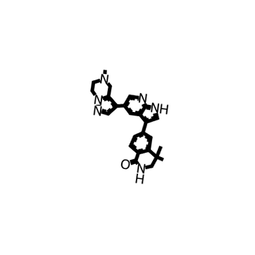 CN1CCn2ncc(-c3cnc4[nH]cc(-c5ccc6c(c5)C(C)(C)CNC6=O)c4c3)c2C1